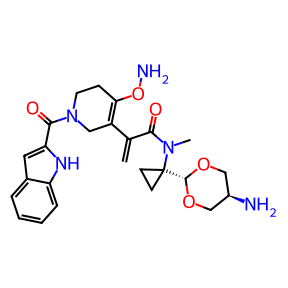 C=C(C(=O)N(C)C1([C@H]2OC[C@H](N)CO2)CC1)C1=C(ON)CCN(C(=O)c2cc3ccccc3[nH]2)C1